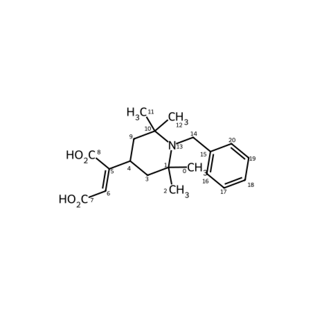 CC1(C)CC(C(=CC(=O)O)C(=O)O)CC(C)(C)N1Cc1ccccc1